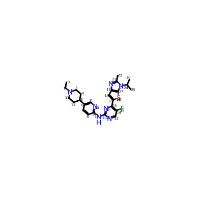 CCN1CCC(c2ccc(Nc3ncc(F)c(-c4cc5nc(C)n(C(C)C)c5s4)n3)nc2)CC1